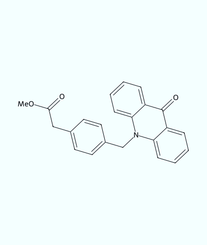 COC(=O)Cc1ccc(Cn2c3ccccc3c(=O)c3ccccc32)cc1